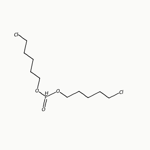 O=[PH](OCCCCCCl)OCCCCCCl